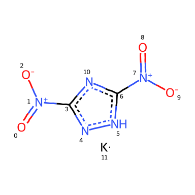 O=[N+]([O-])c1n[nH]c([N+](=O)[O-])n1.[K]